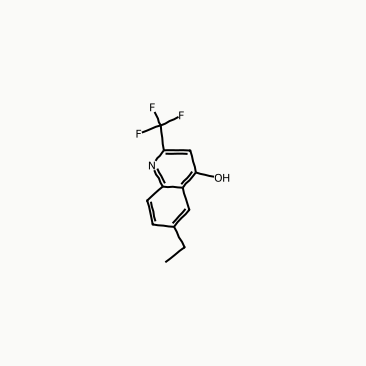 CCc1ccc2nc(C(F)(F)F)cc(O)c2c1